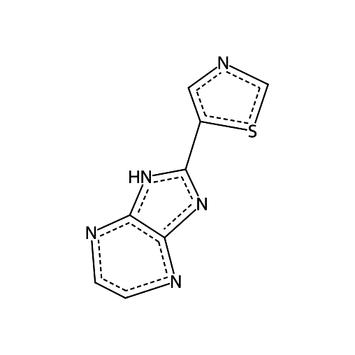 c1cnc2[nH]c(-c3cncs3)nc2n1